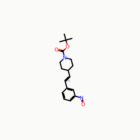 CC(C)(C)OC(=O)N1CCC(/C=C/c2cccc(N=O)c2)CC1